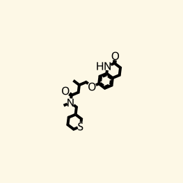 CC(COc1ccc2c(c1)NC(=O)CC2)CC(=O)N(C)CC1CCCSC1